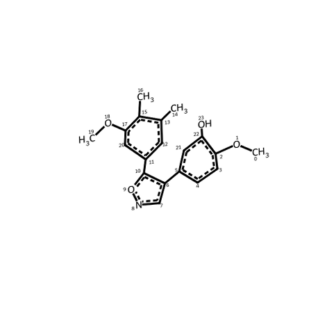 COc1ccc(-c2cnoc2-c2cc(C)c(C)c(OC)c2)cc1O